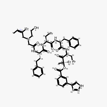 C/C=C(/CC)CN(CCO)CC(=O)N[C@@H](CCc1ccccc1)C(=O)N[C@@H](CC(C)C)C(=O)N[C@@H](Cc1ccccc1)C(=O)N[C@@H](CC(C)C)C(=O)[C@@](C)(CC)OC(=O)c1cccc(-c2c[nH]nn2)c1